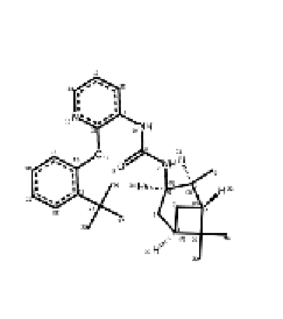 C[C@H]1[C@H]2C[C@H](C[C@H]1NC(=O)Nc1cccnc1Oc1ccccc1C(C)(C)C)C2(C)C